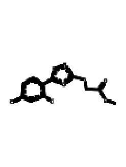 COC(=O)CSc1nnc(-c2ccc(Cl)cc2Cl)o1